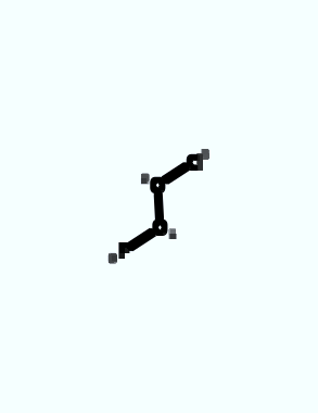 FOOCl